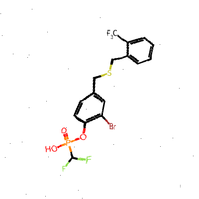 O=P(O)(Oc1ccc(CSCc2ccccc2C(F)(F)F)cc1Br)C(F)F